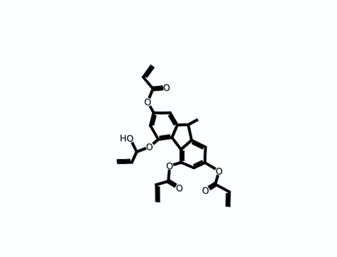 C=CC(=O)Oc1cc(OC(=O)C=C)c2c(c1)C(C)c1cc(OC(=O)C=C)cc(OC(O)C=C)c1-2